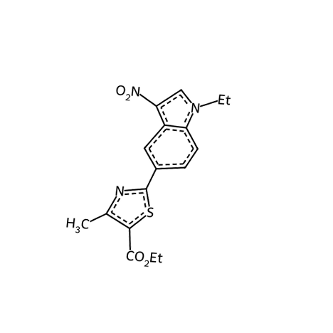 CCOC(=O)c1sc(-c2ccc3c(c2)c([N+](=O)[O-])cn3CC)nc1C